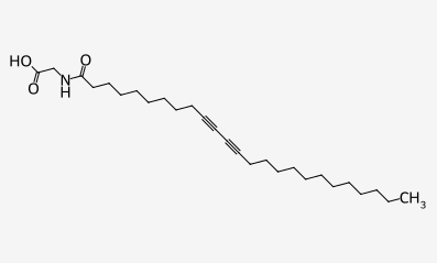 CCCCCCCCCCCCC#CC#CCCCCCCCCC(=O)NCC(=O)O